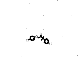 CC(C)(C(=O)COc1ccc(Cl)cc1)c1ccc(Cl)cc1